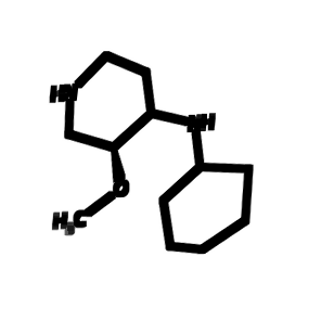 CO[C@H]1CNCCC1NC1CCCCC1